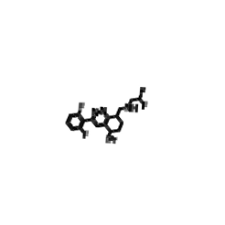 CC(C)C1CCC(CNCC(F)F)c2nnc(-c3c(F)cccc3F)cc21